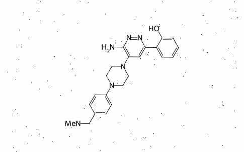 CNCc1ccc(N2CCN(c3cc(-c4ccccc4O)nnc3N)CC2)cc1